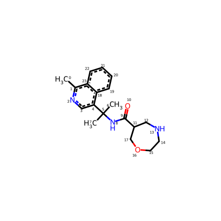 Cc1ncc(C(C)(C)NC(=O)C2CNCCOC2)c2ccccc12